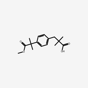 COC(=O)C(C)(C)c1ccc(CC(C)(C)C(=O)O)cc1